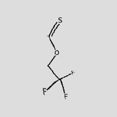 FC(F)(F)CO[C]=S